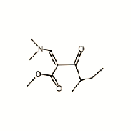 CCC(C)C(=O)C(=CN(C)C)C(=O)OC